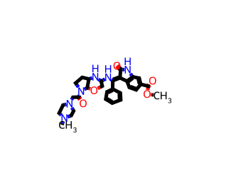 COC(=O)c1ccc2c(c1)NC(=O)/C2=C(\NC1COC2C(CCN2C(=O)CN2CCN(C)CC2)N1)c1ccccc1